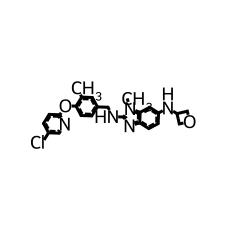 Cc1cc(CNc2nc3ccc(NC4COC4)cc3n2C)ccc1Oc1ccc(Cl)cn1